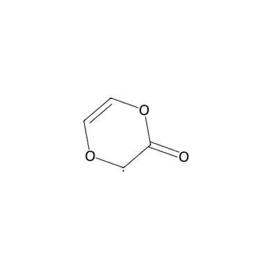 O=C1[CH]OC=CO1